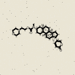 CN(C(=O)OCCN1CCOCC1)[C@H]1CC[C@@]2(C)[C@H](CC[C@@H]3[C@@H]2CC[C@]2(C)[C@@H](c4ccc(=O)oc4)CC[C@]32O)C1